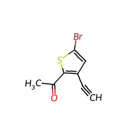 C#Cc1cc(Br)sc1C(C)=O